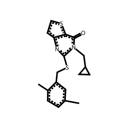 Cc1ccc(C)c(CSc2nc3ccsc3c(=O)n2CC2CC2)c1